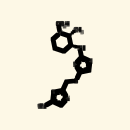 C[C@@H]1[C@H](Nc2ncc(SCc3ncc(C(C)(C)C)o3)s2)CCCN1C(=O)O